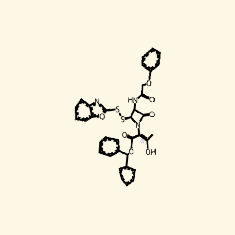 C/C(O)=C(/C(=O)OC(c1ccccc1)c1ccccc1)N1C(=O)C(NC(=O)COc2ccccc2)C1SSc1nc2ccccc2o1